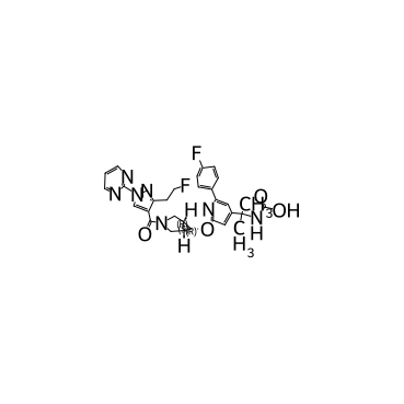 CC(C)(NC(=O)O)c1cc(O[C@@H]2[C@@H]3CN(C(=O)c4cn(-c5ncccn5)nc4CCF)C[C@@H]32)nc(-c2ccc(F)cc2)c1